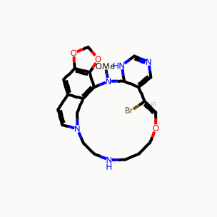 CON1c2c3c(cc4c2OCO4)C=CN(CCNCCCO/C=C(\Br)C2=CN=CNC21)C3